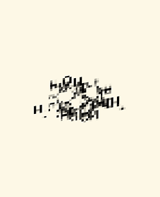 C=C1C(=O)[C@]23[C@H](O)[C@H]1CC[C@H]2[C@@]12CO[C@@]3(O)[C@@H](O)[C@@H]1C(C)(C)C[C@H]1O[C@H]12